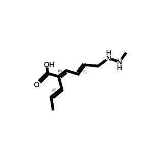 C/C=C/C(=C\C=C\CNNC)C(=O)O